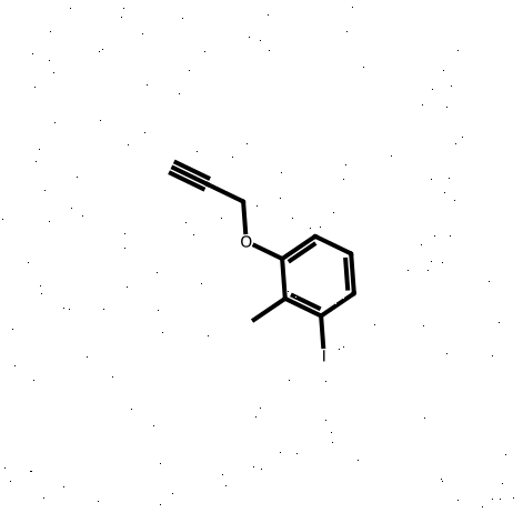 C#CCOc1cccc(I)c1C